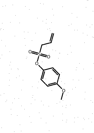 C=CCS(=O)(=O)Oc1ccc(OC)cc1